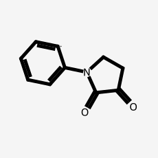 O=C1CCN(c2[c]cccc2)C1=O